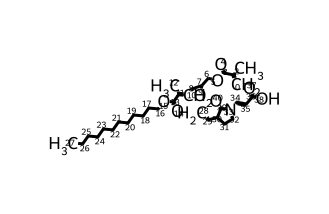 C=C(C)C(=O)OCC1CO1.C=C(C)C(=O)OCCCCCCCCCCCC.C=CC1CCN(C=CC(=O)O)C1=O